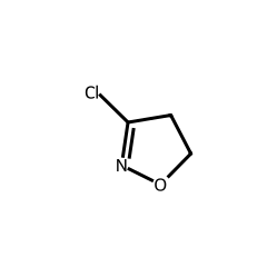 ClC1=NOCC1